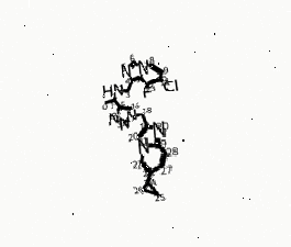 CC(NCc1ncn2ccc(Cl)c(F)c12)c1cn(Cc2cn3cc(C4CC4)ccc3n2)nn1